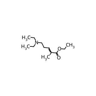 CCOC(=O)C(C)=CCCN(CC)CC